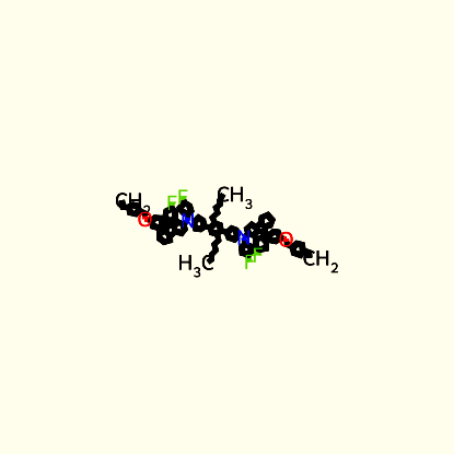 C=Cc1ccc(COc2ccc(C3(c4ccc(F)cc4)c4ccccc4-c4ccc(N(c5ccc(F)cc5)c5ccc(-c6cc(CCCCCC)c(-c7ccc(N(c8ccc(F)cc8)c8ccc9c(c8)C(c8ccc(F)cc8)(c8ccc(OCc%10ccc(C=C)cc%10)cc8)c8ccccc8-9)cc7)cc6CCCCCC)cc5)cc43)cc2)cc1